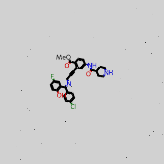 COC(=O)c1ccc(NC(=O)C2CCNCC2)cc1C#CCN=C(c1ccc(Cl)cc1)c1cc(F)ccc1O